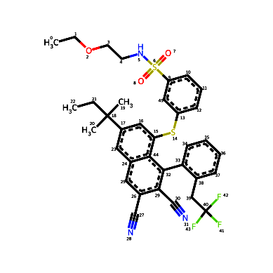 CCOCCNS(=O)(=O)c1cccc(Sc2cc(C(C)(C)CC)cc3cc(C#N)c(C#N)c(-c4ccccc4CC(F)(F)F)c23)c1